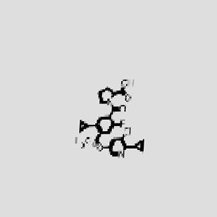 C[C@@H](Oc1cnc(C2CC2)c(Cl)c1)c1cc(F)c(C(=O)N2CCCC2C(=O)O)cc1C1CC1